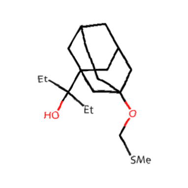 CCC(O)(CC)C12CC3CC(CC(OCSC)(C3)C1)C2